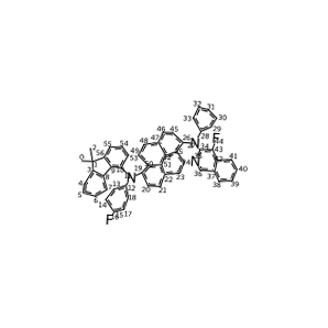 CC1(C)c2ccccc2-c2c(N(c3ccc(F)cc3)c3ccc4ccc5c(N(c6ccccc6)c6ncc7ccccc7c6F)ccc6ccc3c4c65)cccc21